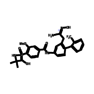 COc1cc(C(=O)Nc2ccc(-c3ccccc3C(F)(F)F)c(C/C(N)=N\O)c2)ccc1S1(=O)=C(O)C(C)(C)N1